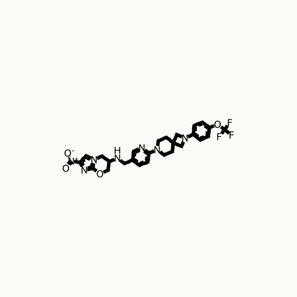 O=[N+]([O-])c1cn2c(n1)OCC(NCc1ccc(N3CCC4(CC3)CN(c3ccc(OC(F)(F)F)cc3)C4)nc1)C2